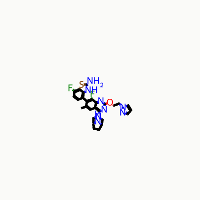 Cc1cc2c(N3CC4CCC(C3)N4)nc(OCCn3cccn3)nc2c(F)c1-c1ccc(F)c2c1NC(N)S2